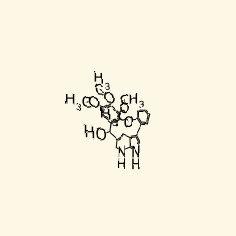 COc1ccccc1-c1c[nH]c2c1C=C(C(O)c1cc(OC)c(OC)c(OC)c1)CN2